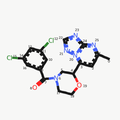 Cc1cc(C2CN(C(=O)c3cc(Cl)cc(Cl)c3)CCO2)n2ncnc2n1